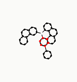 c1ccc(-c2ccc(N(c3ccc4ccc5ccccc5c4c3)c3cccc4ccc5ccc6ccccc6c5c34)cc2)cc1